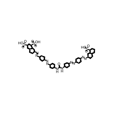 O=C(Nc1ccc(N=Nc2ccc(N=Nc3ccc4cccc(S(=O)(=O)O)c4c3)cc2)cc1)Nc1ccc(N=Nc2ccc(N=Nc3ccc4cc(S(=O)(=O)O)cc(S(=O)(=O)O)c4c3)cc2)cc1